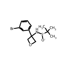 CC(C)(C)[S+]([O-])NC1(c2cccc(Br)c2)COC1